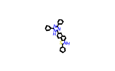 c1ccc(C2=NC(c3ccccc3)NC(c3ccc4c5c(ccc4c3)NC(c3ccccc3)S5)=N2)cc1